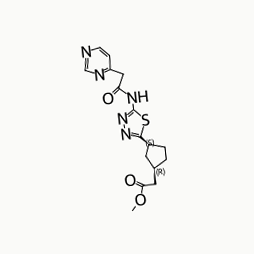 COC(=O)C[C@@H]1CC[C@H](c2nnc(NC(=O)Cc3ccncn3)s2)C1